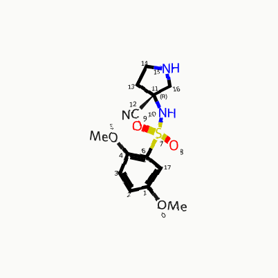 COc1ccc(OC)c(S(=O)(=O)N[C@]2(C#N)CCNC2)c1